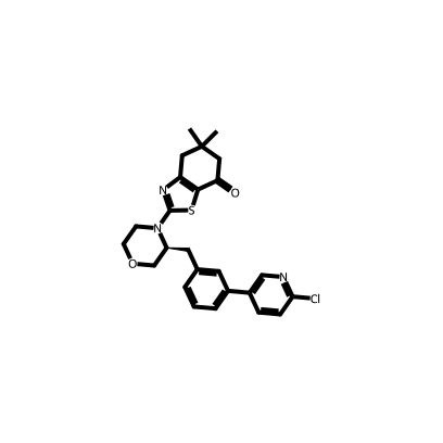 CC1(C)CC(=O)c2sc(N3CCOC[C@@H]3Cc3cccc(-c4ccc(Cl)nc4)c3)nc2C1